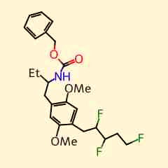 CCC(Cc1cc(OC)c(CC(F)C(F)CCF)cc1OC)NC(=O)OCc1ccccc1